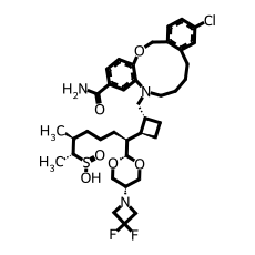 C[C@H]([C@@H](C)CCC[C@H]([C@H]1OC[C@@H](N2CC(F)(F)C2)CO1)[C@@H]1CC[C@H]1CN1CCCCc2cc(Cl)ccc2COc2ccc(C(N)=O)cc21)S(=O)O